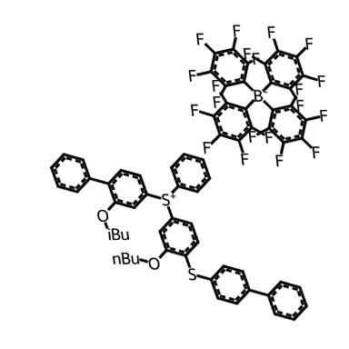 CCCCOc1cc([S+](c2ccccc2)c2ccc(-c3ccccc3)c(OC(C)CC)c2)ccc1Sc1ccc(-c2ccccc2)cc1.Fc1c(F)c(F)c([B-](c2c(F)c(F)c(F)c(F)c2F)(c2c(F)c(F)c(F)c(F)c2F)c2c(F)c(F)c(F)c(F)c2F)c(F)c1F